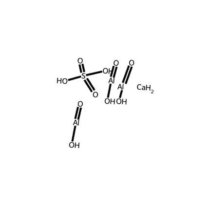 O=S(=O)(O)O.[CaH2].[O]=[Al][OH].[O]=[Al][OH].[O]=[Al][OH]